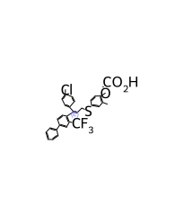 Cc1cc(SC/C=C(\c2ccc(Cl)cc2)c2ccc(-c3ccccc3)cc2C(F)(F)F)ccc1OCC(=O)O